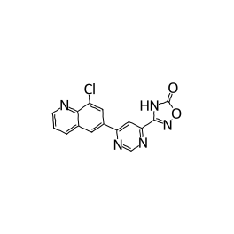 O=c1[nH]c(-c2cc(-c3cc(Cl)c4ncccc4c3)ncn2)no1